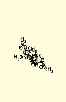 CC[C@H]1C[C@H](OC(C)=O)[C@@]2(C)CC[C@H]3[C@@H](C[C@@H](O)[C@@]4(Br)C[C@@H](OC(C)=O)CC[C@]34C)[C@H]12